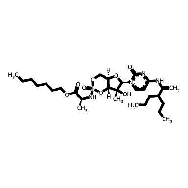 C=C(Nc1ccn([C@@H]2O[C@@H]3COP(=O)(N[C@@H](C)C(=O)OCCCCCCC)O[C@H]3[C@@]2(C)O)c(=O)n1)C(CCC)CCC